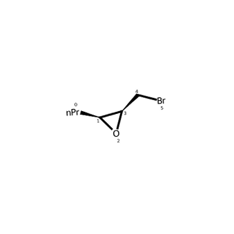 CCC[C@@H]1O[C@@H]1CBr